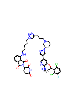 C[C@@H](Oc1cc(-c2cnn(C3CCCN(CCCc4cn(CCCCCNc5cccc6c5C(=O)N(C5CCC(=O)NC5=O)C6=O)nn4)C3)c2)cnc1N)c1c(Cl)ccc(F)c1Cl